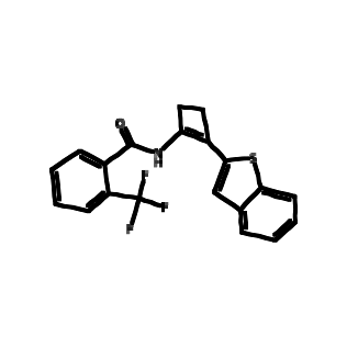 O=C(NC1=C(c2cc3ccccc3s2)CC1)c1ccccc1C(F)(F)F